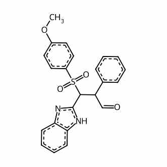 COc1ccc(S(=O)(=O)C(c2nc3ccccc3[nH]2)C(C=O)c2ccccc2)cc1